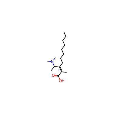 CCCCCCCC/C(=C(\C)C(=O)O)C(C)N(C)C